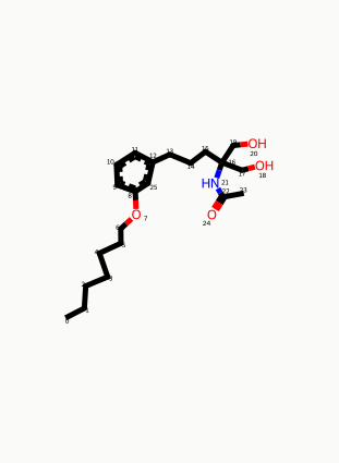 CCCCCCCOc1cccc(CCCC(CO)(CO)NC(C)=O)c1